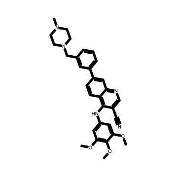 COc1cc(Nc2c(C#N)cnc3cc(-c4cccc(CN5CCN(C)CC5)c4)ccc23)cc(OC)c1OC